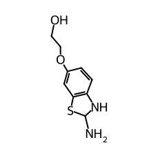 NC1Nc2ccc(OCCO)cc2S1